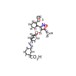 O=C(O)c1cccc(/C=C/C23CCC(OCc4c(-c5ccccc5OC(F)(F)F)noc4C4CC4)(CC2)CC3)c1